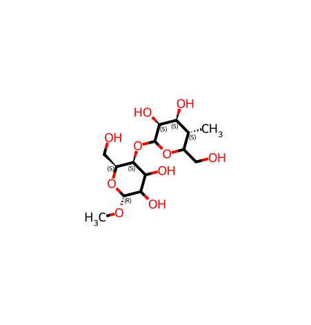 CO[C@@H]1O[C@@H](CO)[C@@H](OC2OC(CO)[C@@H](C)[C@H](O)[C@@H]2O)C(O)C1O